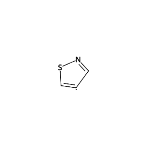 [c]1cnsc1